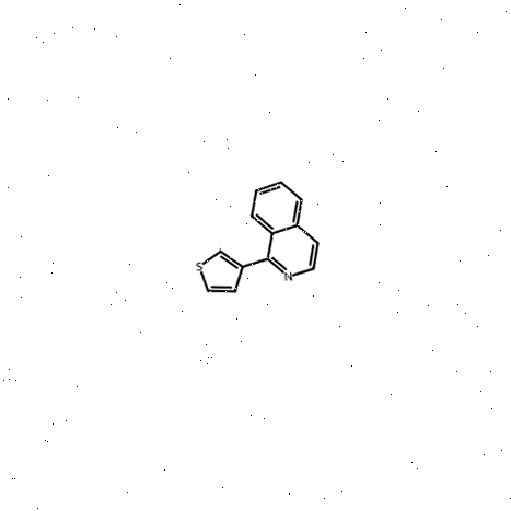 [c]1sccc1-c1nccc2ccccc12